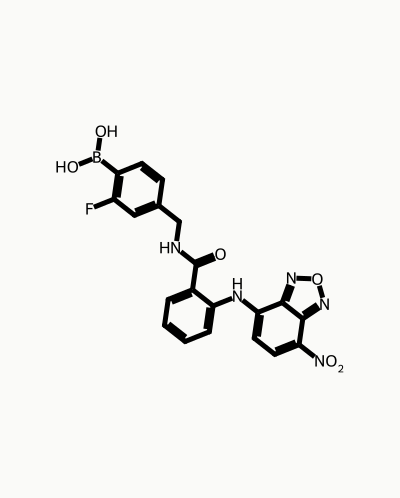 O=C(NCc1ccc(B(O)O)c(F)c1)c1ccccc1Nc1ccc([N+](=O)[O-])c2nonc12